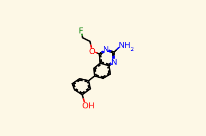 Nc1nc(OCCF)c2cc(-c3cccc(O)c3)ccc2n1